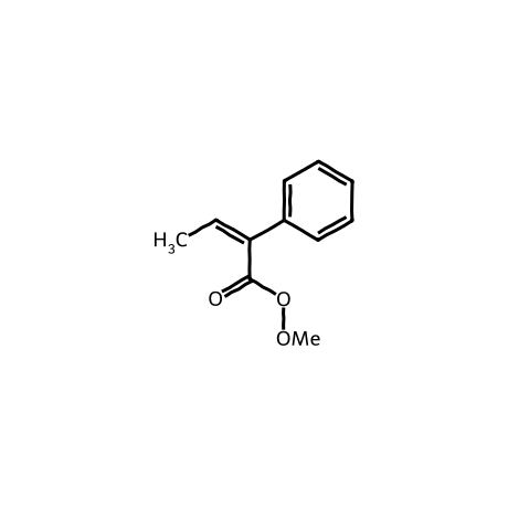 CC=C(C(=O)OOC)c1ccccc1